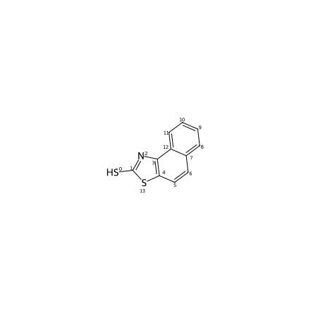 Sc1nc2c(ccc3ccccc32)s1